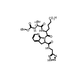 CC[C@H](C)[C@H](NC(=O)OC(C)(C)C)C(=O)NC(CCCC(=O)O)C(=O)N1c2ncccc2CC1C(=O)NCc1nn[nH]n1